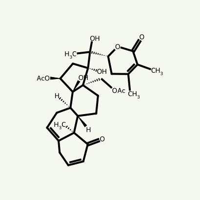 CC(=O)OC[C@]12CC[C@H]3[C@@H](CC=C4CC=CC(=O)[C@@]43C)[C@]1(O)[C@@H](OC(C)=O)C[C@@]2(O)C(C)(O)[C@H]1CC(C)=C(C)C(=O)O1